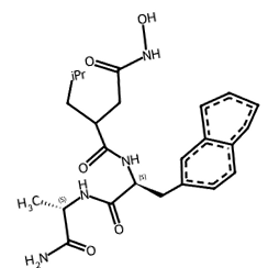 CC(C)CC(CC(=O)NO)C(=O)N[C@@H](Cc1ccc2ccccc2c1)C(=O)N[C@@H](C)C(N)=O